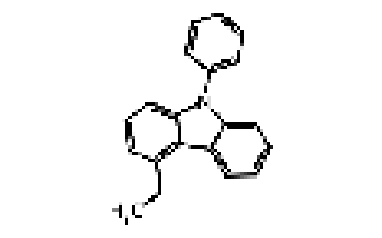 CCc1cccc2c1c1ccccc1n2-c1ccccc1